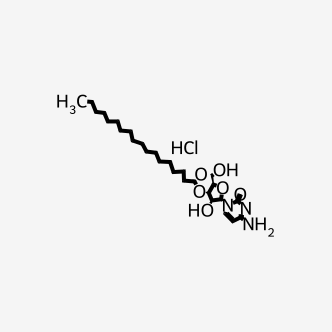 CCCCCCCCCCCCCCCCCC(=O)O[C@H]1[C@H](O)[C@H](n2ccc(N)nc2=O)O[C@@H]1CO.Cl